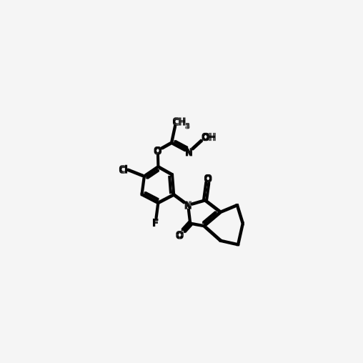 CC(=NO)Oc1cc(N2C(=O)C3=C(CCCC3)C2=O)c(F)cc1Cl